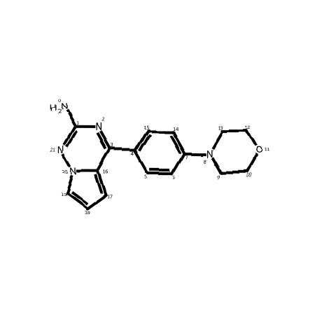 Nc1nc(-c2ccc(N3CCOCC3)cc2)c2cccn2n1